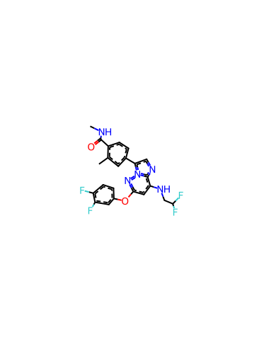 CNC(=O)c1ccc(-c2cnc3c(NCC(F)F)cc(Oc4ccc(F)c(F)c4)nn23)cc1C